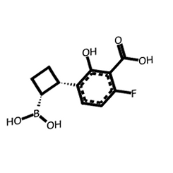 O=C(O)c1c(F)ccc([C@H]2CC[C@H]2B(O)O)c1O